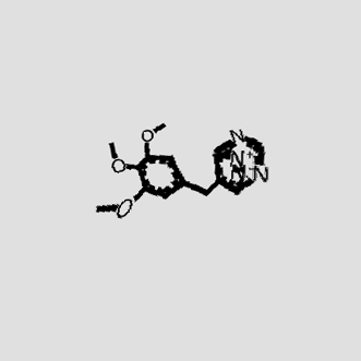 COc1cc(Cc2cnc3nc2[n+]3=[N-])cc(OC)c1OC